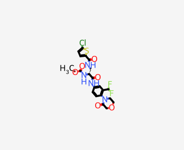 COC(=O)N[C@H](CNC(=O)c1ccc(Cl)s1)C(=O)Nc1ccc(N2CCOCC2=O)c(C(F)F)c1